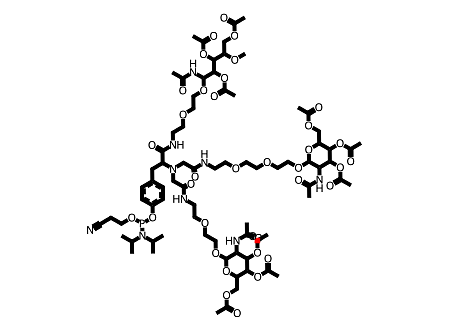 COC(COC(C)=O)C(OC(C)=O)C(OC(C)=O)C(NC(C)=O)OCCOCCNC(=O)C(Cc1ccc(OP(OCCC#N)N(C(C)C)C(C)C)cc1)N(CC(=O)NCCOCCOCCOC1OC(COC(C)=O)C(OC(C)=O)C(OC(C)=O)C1NC(C)=O)CC(=O)NCCOCCOC1OC(COC(C)=O)C(OC(C)=O)C(OC(C)=O)C1NC(C)=O